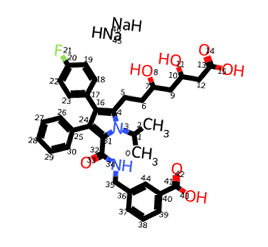 CC(C)n1c(CCC(O)CC(O)CC(=O)O)c(-c2ccc(F)cc2)c(-c2ccccc2)c1C(=O)NCc1cccc(C(=O)O)c1.[NaH].[NaH]